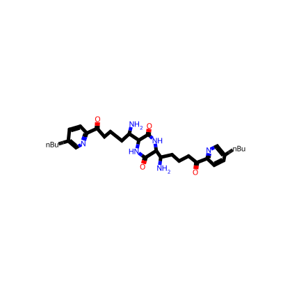 CCCCc1ccc(C(=O)CCCC(N)C2NC(=O)C(C(N)CCCC(=O)c3ccc(CCCC)cn3)NC2=O)nc1